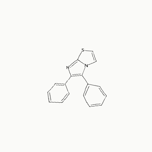 c1ccc(-c2nc3sccn3c2-c2ccccc2)cc1